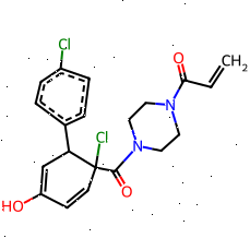 C=CC(=O)N1CCN(C(=O)C2(Cl)C=CC(O)=CC2c2ccc(Cl)cc2)CC1